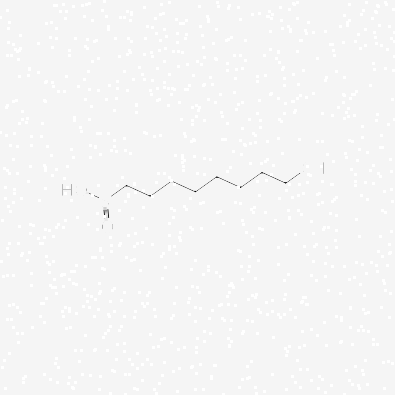 CCCCCCCCCS(=O)O